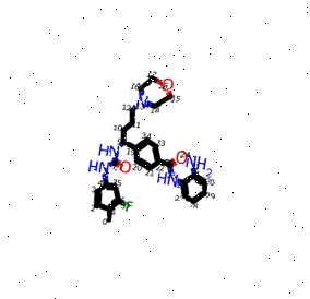 Cc1ccc(NC(=O)NC(CCCN2CCOCC2)c2ccc(C(=O)Nc3ccccc3N)cc2)cc1F